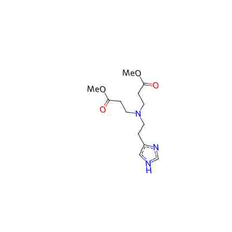 COC(=O)CCN(CCC(=O)OC)CCc1c[nH]cn1